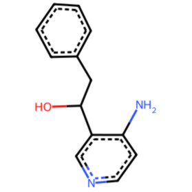 Nc1ccncc1C(O)Cc1ccccc1